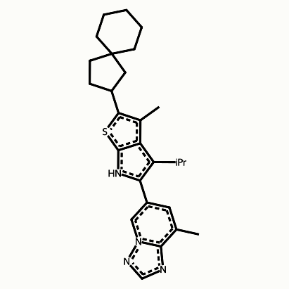 Cc1c(C2CCC3(CCCCC3)C2)sc2[nH]c(-c3cc(C)c4ncnn4c3)c(C(C)C)c12